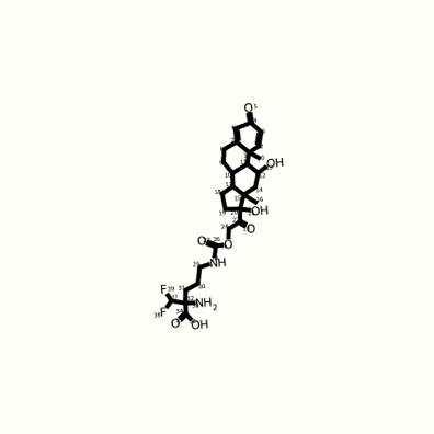 CC12C=CC(=O)C=C1CCC1C2C(O)CC2(C)C1CCC2(O)C(=O)COC(=O)NCCCC(N)(C(=O)O)C(F)F